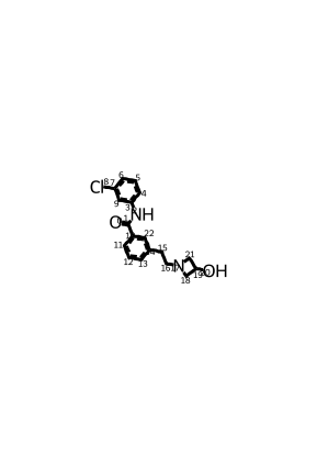 O=C(Nc1cccc(Cl)c1)c1cccc(CCN2CC(O)C2)c1